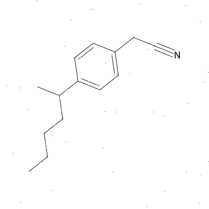 CCCCC(C)c1ccc(CC#N)cc1